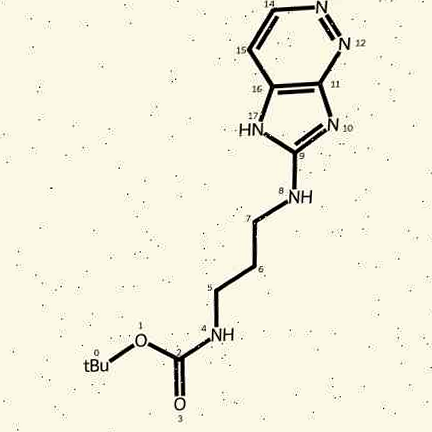 CC(C)(C)OC(=O)NCCCNc1nc2nnccc2[nH]1